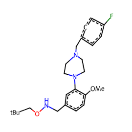 COc1ccc(CNOCC(C)(C)C)cc1N1CCN(Cc2ccc(F)cc2)CC1